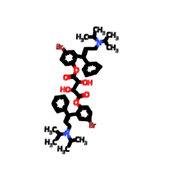 CC(C)N(CC=C(c1ccccc1)c1cc(Br)ccc1OC(=O)C(O)C(O)C(=O)Oc1ccc(Br)cc1C(=CCN(C(C)C)C(C)C)c1ccccc1)C(C)C